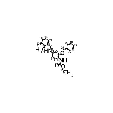 CCOC(=O)Nc1ccc(NCc2cccc(F)c2C)cc1OCc1ccccc1